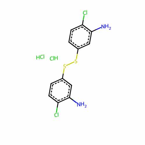 Cl.Cl.Nc1cc(SSc2ccc(Cl)c(N)c2)ccc1Cl